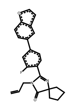 C=CCN1C(=O)C2(CCCC2)N=C1c1ccc(-c2ccc3occc3c2)cc1F